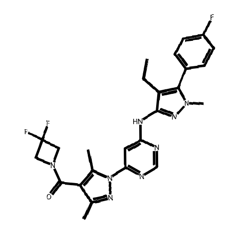 CCc1c(Nc2cc(-n3nc(C)c(C(=O)N4CC(F)(F)C4)c3C)ncn2)nn(C)c1-c1ccc(F)cc1